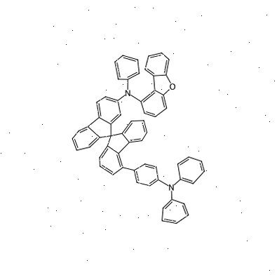 c1ccc(N(c2ccccc2)c2ccc(-c3cccc4c3-c3ccccc3C43c4ccccc4-c4ccc(N(c5ccccc5)c5cccc6oc7ccccc7c56)cc43)cc2)cc1